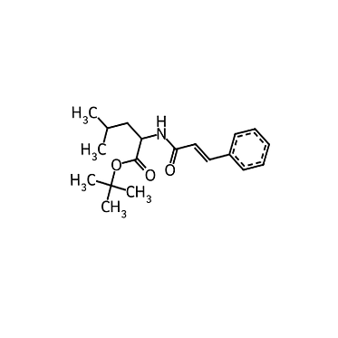 CC(C)CC(NC(=O)C=Cc1ccccc1)C(=O)OC(C)(C)C